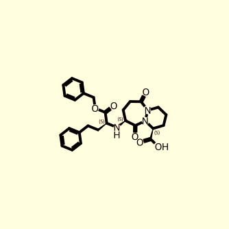 O=C(OCc1ccccc1)[C@H](CCc1ccccc1)N[C@H]1CCC(=O)N2CCC[C@@H](C(=O)O)N2C1=O